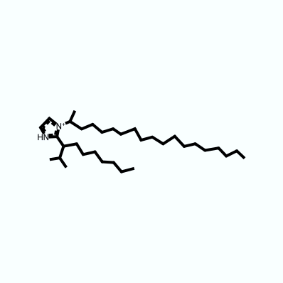 CCCCCCCCCCCCCCCCCC(C)[n+]1cc[nH]c1C(CCCCCCC)C(C)C